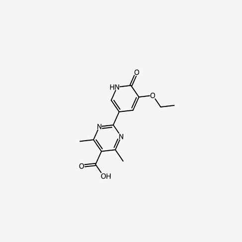 CCOc1cc(-c2nc(C)c(C(=O)O)c(C)n2)c[nH]c1=O